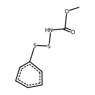 COC(=O)NSSc1ccccc1